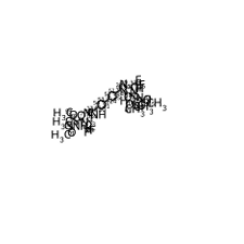 COC(=O)N[C@H](C(=O)N1CC(F)(F)C[C@H]1c1ncc(-c2ccc(-c3ccc(-c4cnc([C@@H]5CC(F)(F)CN5C(=O)[C@@H](NC(=O)OC)[C@@H](C)OC)[nH]4)cc3)cc2)[nH]1)[C@@H](C)OC